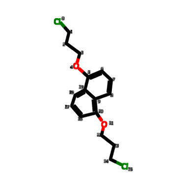 ClCCCOc1cccc2c(OCCCCl)cccc12